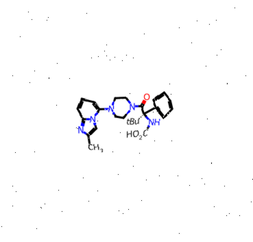 Cc1cn2c(N3CCN(C(=O)[C@](NC(=O)O)(c4ccccc4)C(C)(C)C)CC3)cccc2n1